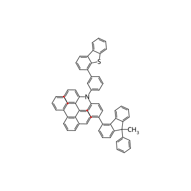 CC1(c2ccccc2)c2ccccc2-c2c(-c3ccc(N(c4cccc(-c5cccc6c5sc5ccccc56)c4)c4ccccc4-c4cccc5cccc(-c6ccccc6)c45)cc3)cccc21